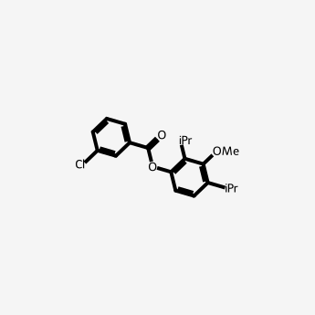 COc1c(C(C)C)ccc(OC(=O)c2cccc(Cl)c2)c1C(C)C